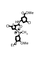 CCOc1ccc(N(C)S(=O)(=O)c2cc(Cl)sc2C(=O)Nc2cc(Cl)cc(C(=O)OC)c2)cc1OC